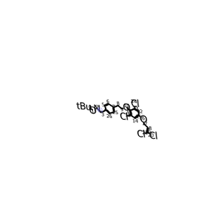 CC(C)(C)O/N=C/c1ccc(CCOc2c(Cl)cc(OCC=C(Cl)Cl)cc2Cl)cc1